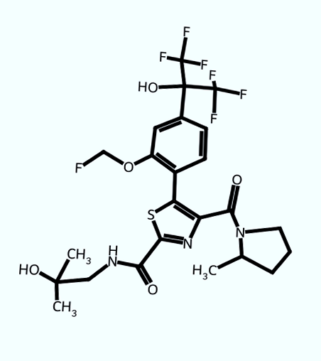 CC1CCCN1C(=O)c1nc(C(=O)NCC(C)(C)O)sc1-c1ccc(C(O)(C(F)(F)F)C(F)(F)F)cc1OCF